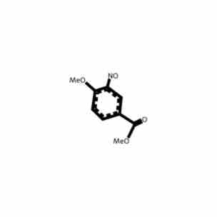 COC(=O)c1ccc(OC)c(N=O)c1